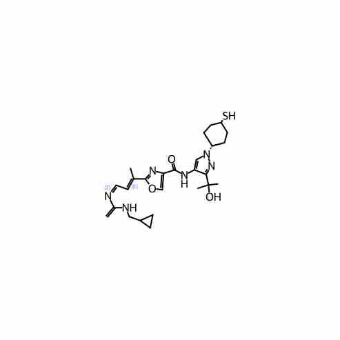 C=C(/N=C\C=C(/C)c1nc(C(=O)Nc2cn([C@H]3CC[C@H](S)CC3)nc2C(C)(C)O)co1)NCC1CC1